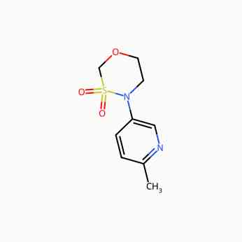 Cc1ccc(N2CCOCS2(=O)=O)cn1